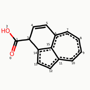 O=C(O)C1C=Cc2ccccc3ccc1c2-3